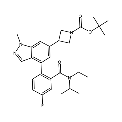 CCN(C(=O)c1cc(F)ccc1-c1cc(C2CN(C(=O)OC(C)(C)C)C2)cc2c1cnn2C)C(C)C